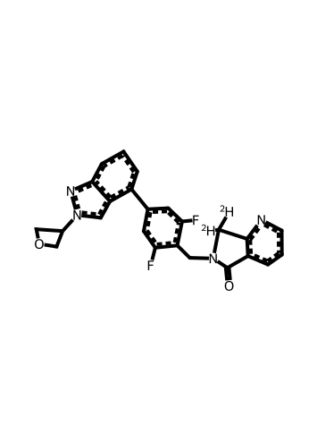 [2H]C1([2H])c2ncccc2C(=O)N1Cc1c(F)cc(-c2cccc3nn(C4COC4)cc23)cc1F